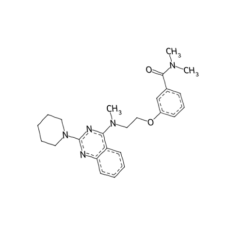 CN(C)C(=O)c1cccc(OCCN(C)c2nc(N3CCCCC3)nc3ccccc23)c1